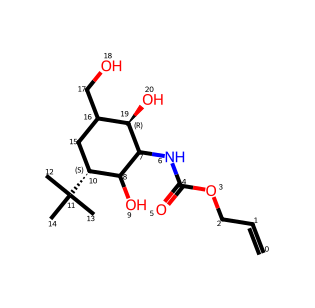 C=CCOC(=O)NC1C(O)[C@H](C(C)(C)C)CC(CO)[C@H]1O